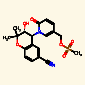 CC1(C)Oc2ccc(C#N)cc2[C@H](n2cc(COS(C)(=O)=O)ccc2=O)[C@H]1O